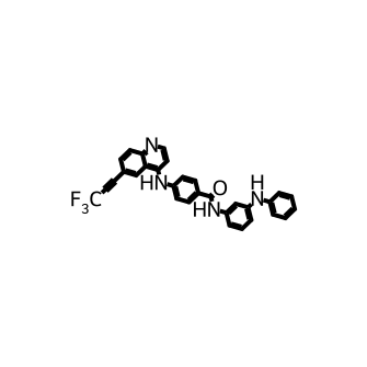 O=C(Nc1cccc(Nc2ccccc2)c1)c1ccc(Nc2ccnc3ccc(C#CC(F)(F)F)cc23)cc1